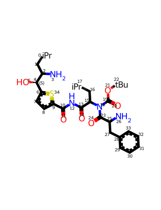 CC(C)CC(N)[C@H](O)c1ccc(C(=O)NC(=O)C(CC(C)C)N(C(=O)OC(C)(C)C)C(=O)C(N)Cc2ccccc2)s1